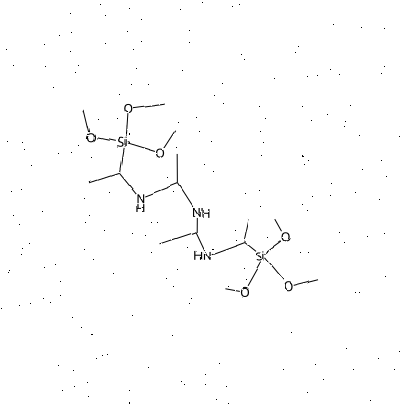 CO[Si](OC)(OC)C(C)NC(C)NC(C)NC(C)[Si](OC)(OC)OC